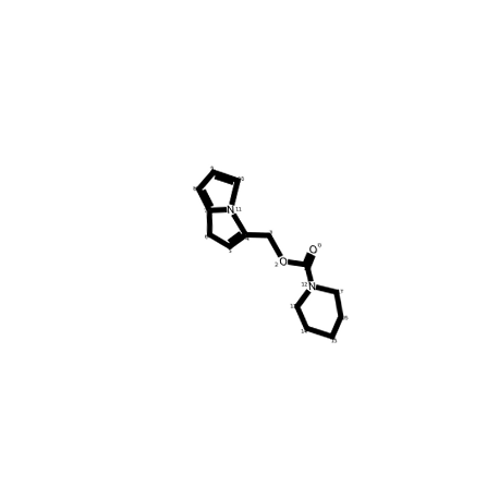 O=C(OCC1=CCc2cccn21)N1CCCCC1